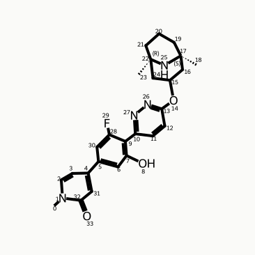 Cn1ccc(-c2cc(O)c(-c3ccc(OC4C[C@]5(C)CCC[C@](C)(C4)N5)nn3)c(F)c2)cc1=O